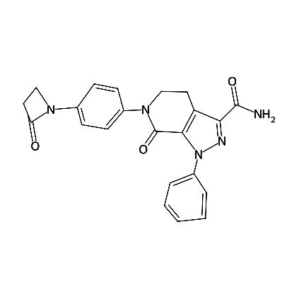 NC(=O)c1nn(-c2ccccc2)c2c1CCN(c1ccc(N3CCC3=O)cc1)C2=O